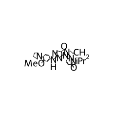 C=CCn1c(=O)c2cnc(Nc3ccc(N4CCCC4)c(OC)c3)nc2n1-c1ccc(=O)n(C(C)C)n1